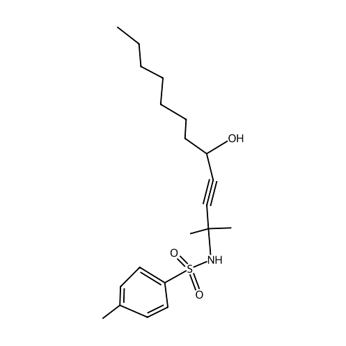 CCCCCCCC(O)C#CC(C)(C)NS(=O)(=O)c1ccc(C)cc1